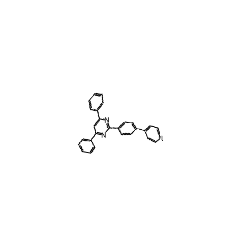 c1ccc(-c2cc(-c3ccccc3)nc(-c3ccc(-c4ccncc4)cc3)n2)cc1